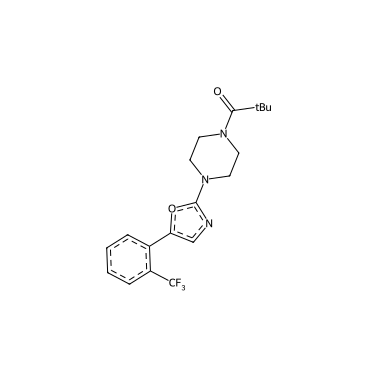 CC(C)(C)C(=O)N1CCN(c2ncc(-c3ccccc3C(F)(F)F)o2)CC1